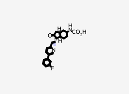 O=C(O)NC1CC[C@@H]2[C@@H](CC(=O)[C@H]2/C=C/c2ccc(-c3cccc(F)c3)cn2)C1